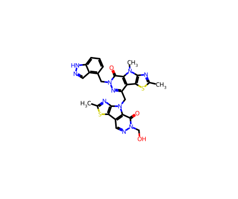 Cc1nc2c(s1)c1c(Cn3c4nc(C)sc4c4cnn(CO)c(=O)c43)nn(Cc3cccc4[nH]ncc34)c(=O)c1n2C